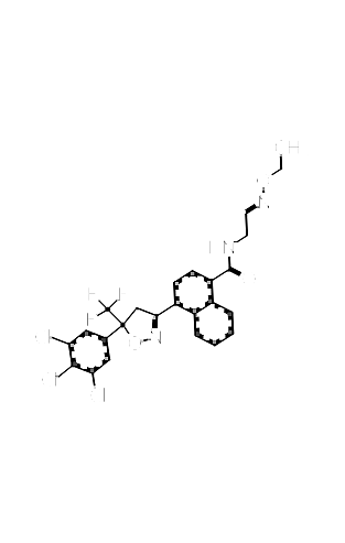 CCO/N=C/CNC(=O)c1ccc(C2=NOC(c3cc(Cl)c(Cl)c(Cl)c3)(C(F)(F)F)C2)c2ccccc12